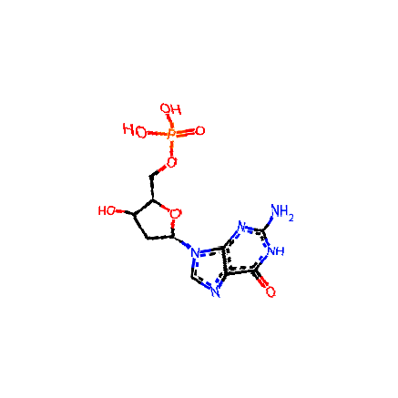 Nc1nc2c(ncn2[C@H]2CC(O)[C@@H](COP(=O)(O)O)O2)c(=O)[nH]1